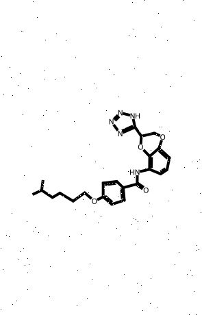 CC(C)CCCCOc1ccc(C(=O)Nc2cccc3c2OC(c2nnn[nH]2)CO3)cc1